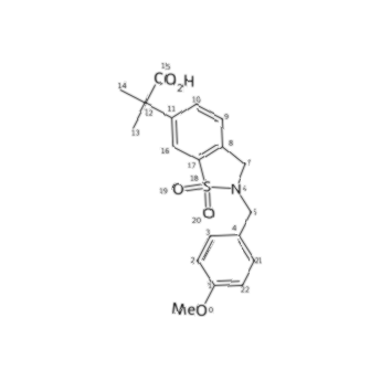 COc1ccc(CN2Cc3ccc(C(C)(C)C(=O)O)cc3S2(=O)=O)cc1